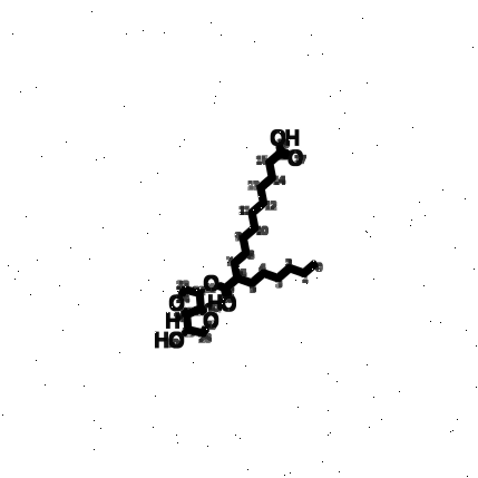 CCCCCCC(CCCCCCCCCC(=O)O)C(=O)O[C@H]1CO[C@H]2[C@@H]1OC[C@H]2O